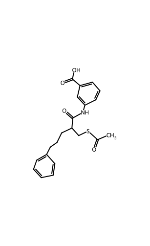 CC(=O)SCC(CCCc1ccccc1)C(=O)Nc1cccc(C(=O)O)c1